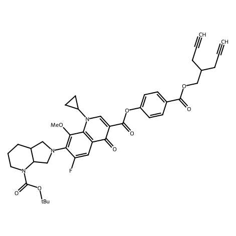 C#CCC(CC#C)COC(=O)c1ccc(OC(=O)c2cn(C3CC3)c3c(OC)c(N4CC5CCCN(C(=O)OC(C)(C)C)C5C4)c(F)cc3c2=O)cc1